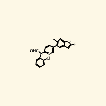 Cc1cc2oc(F)cc2cc1-c1ccc(N(C=O)c2ccccc2Cl)nc1